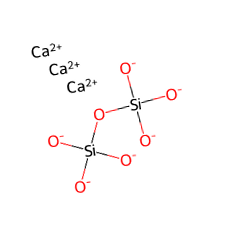 [Ca+2].[Ca+2].[Ca+2].[O-][Si]([O-])([O-])O[Si]([O-])([O-])[O-]